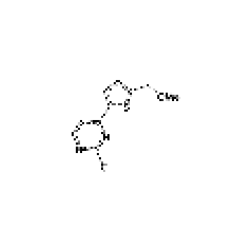 COCc1ccc(-c2ccnc(Cl)n2)s1